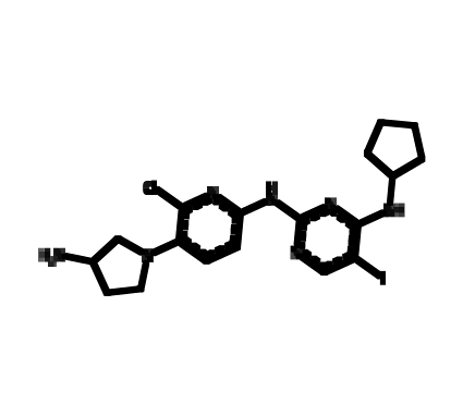 NC1CCN(c2ccc(Nc3ncc(I)c(NC4CCCC4)n3)nc2Cl)C1